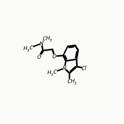 Cc1c(Cl)c2cccc(OCC(=O)N(C)C)c2n1C